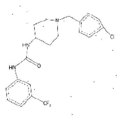 O=C(Nc1cccc(C(F)(F)F)c1)NC1CCN(Cc2ccc(Cl)cc2)CC1